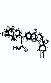 O=C(c1ccc(Nc2nccn3c(-c4c[nH]nc4C(F)(F)F)cnc23)cc1Cl)N1CCN(C(=O)C2CCNCC2)CC1.O=CO